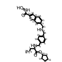 CC(C)CC(NCc1ccc(CNCc2ccc3cc(C(=O)NO)sc3c2)cc1)C(=O)OC1CCCC1